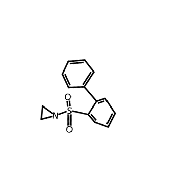 O=S(=O)(c1ccccc1-c1ccccc1)N1CC1